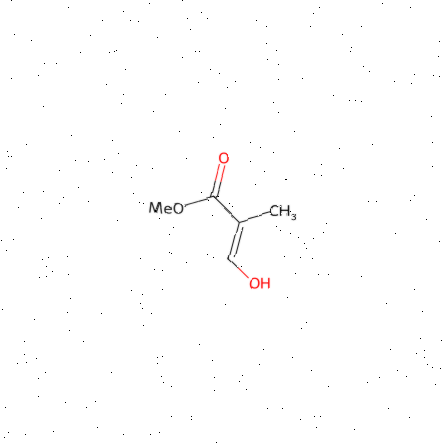 COC(=O)C(C)=CO